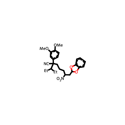 CCC(CC)C(C#N)(CCCC(CC1Oc2ccccc2O1)[N+](=O)[O-])c1ccc(OC)c(OC)c1